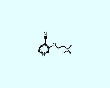 CS(C)(C)CCOc1cnccc1C#N